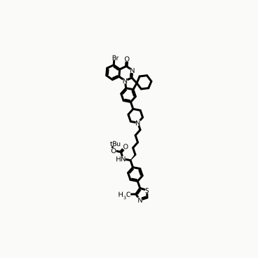 Cc1ncsc1-c1ccc([C@H](CCCCCN2CCC(c3ccc4c(c3)C3(CCCCC3)c3nc(=O)c5c(Br)cccc5n3-4)CC2)NC(=O)OC(C)(C)C)cc1